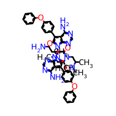 CC(CN(C(=O)C(CC(N)=O)(n1cc(-c2ccc(Oc3ccccc3)cc2)c2c(N)ncnc21)n1cc(-c2ccc(Oc3ccccc3)cc2)c2c(N)ncnc21)C(C)CN(C)C)N(C)C